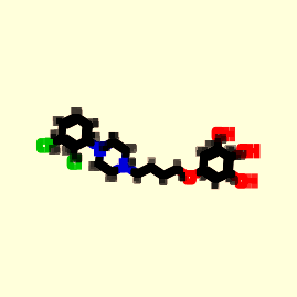 Oc1cc(OCCCCN2CCN(c3cccc(Cl)c3Cl)CC2)cc(O)c1O